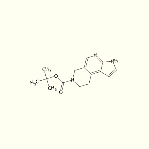 CC(C)(C)OC(=O)N1CCc2c(cnc3[nH]ccc23)C1